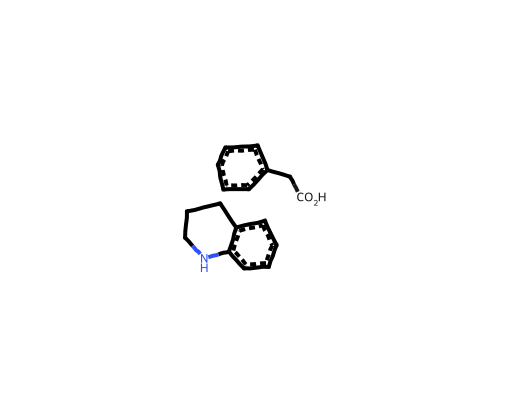 O=C(O)Cc1ccccc1.c1ccc2c(c1)CCCN2